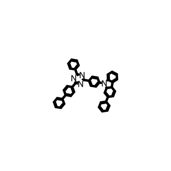 C1=CC2c3ccccc3N(c3ccc(-c4nc(-c5ccccc5)nc(-c5ccc(-c6ccccc6)cc5)n4)cc3)C2C=C1c1ccccc1